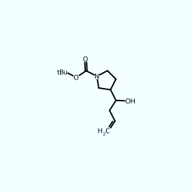 C=CCC(O)C1CCN(C(=O)OC(C)(C)C)C1